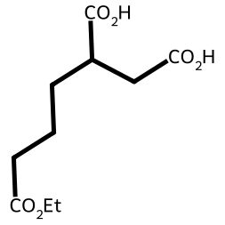 CCOC(=O)CCCC(CC(=O)O)C(=O)O